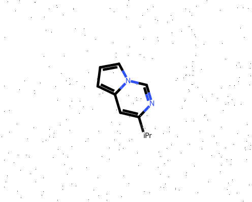 CC(C)c1cc2cccn2cn1